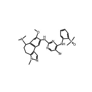 COc1cc2c(cc1Nc1ncc(Br)c(Nc3ccccc3P(C)(C)=O)n1)-c1cnn(C)c1CCC2N(C)C